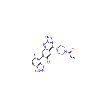 C=CC(=O)N1CCN(c2nc(N)nc3cc(-c4c(C)ccc5[nH]ncc45)c(Cl)cc23)CC1